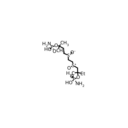 CCC(C)(C[S+]([O-])CC[S+]([O-])CCC(C)(C)OP(N)(=O)O)OP(N)(=O)O